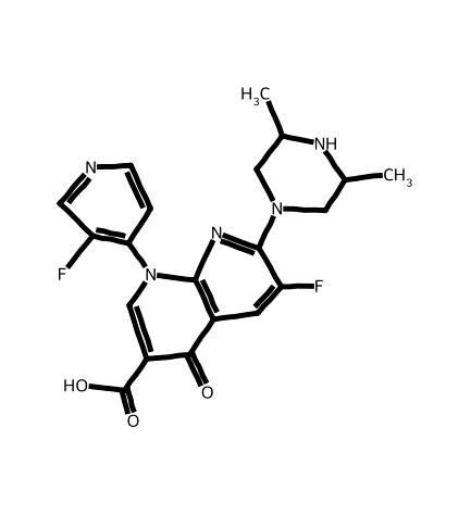 CC1CN(c2nc3c(cc2F)c(=O)c(C(=O)O)cn3-c2ccncc2F)CC(C)N1